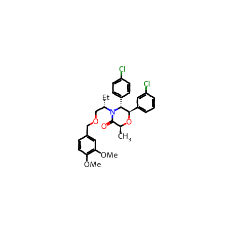 CC[C@@H](COCc1ccc(OC)c(OC)c1)N1C(=O)[C@H](C)O[C@H](c2cccc(Cl)c2)[C@H]1c1ccc(Cl)cc1